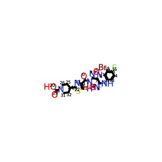 O=C(Nc1nonc1/C(=N\O)Nc1ccc(F)c(Br)c1)c1csc(C2CCN(C(=O)O)CC2)n1